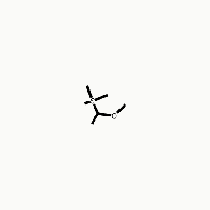 COC(C)S(C)(C)C